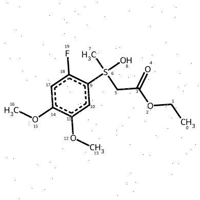 CCOC(=O)CS(C)(O)c1cc(OC)c(OC)cc1F